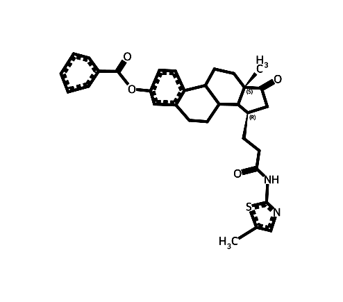 Cc1cnc(NC(=O)CC[C@@H]2CC(=O)[C@@]3(C)CCC4c5ccc(OC(=O)c6ccccc6)cc5CCC4C23)s1